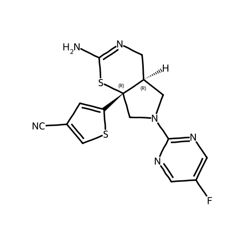 N#Cc1csc([C@]23CN(c4ncc(F)cn4)C[C@@H]2CN=C(N)S3)c1